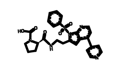 O=C(NCCc1cc2c(-c3ccncc3)ccnc2n1S(=O)(=O)c1ccccc1)[C@@H]1CCCN1C(=O)O